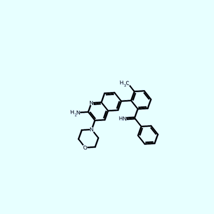 Cc1cccc(C(=N)c2ccccc2)c1-c1ccc2nc(N)c(N3CCOCC3)cc2c1